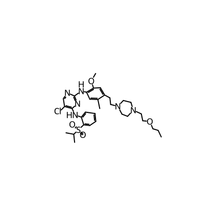 CCCOCCN1CCN(CCc2cc(OC)c(Nc3ncc(Cl)c(Nc4ccccc4S(=O)(=O)C(C)C)n3)cc2C)CC1